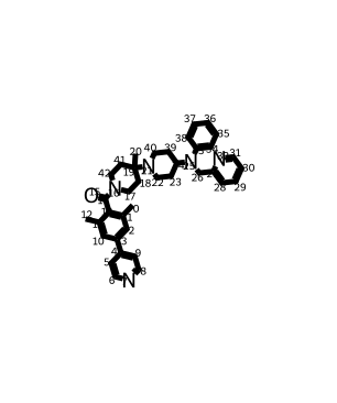 Cc1cc(-c2ccncc2)cc(C)c1C(=O)N1CCC(C)(N2CCC(N(Cc3ccccn3)c3ccccc3)CC2)CC1